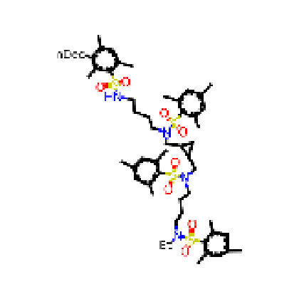 CCCCCCCCCCc1c(C)cc(C)c(S(=O)(=O)NCCCCN(CC2CC2CN(CCCCN(CC)S(=O)(=O)c2c(C)cc(C)cc2C)S(=O)(=O)c2c(C)cc(C)cc2C)S(=O)(=O)c2c(C)cc(C)cc2C)c1C